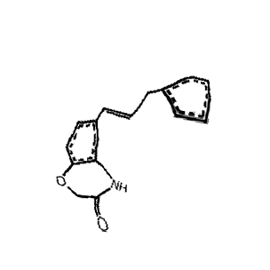 O=C1COc2ccc(C=CCc3ccccc3)cc2N1